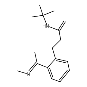 C=C(CCc1ccccc1/C(C)=N/C)NC(C)(C)C